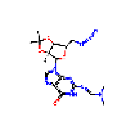 CN(C)/C=N/c1nc2c(ncn2[C@@H]2O[C@H](CN=[N+]=[N-])C3OC(C)(C)O[C@@H]32)c(=O)[nH]1